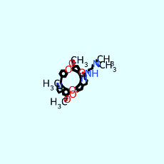 CCN(CC)CCCNC(=O)N1CCc2cc3c4cc2[C@@H]1Cc1ccc(OC)c(c1)Oc1ccc(cc1)C[C@H]1c2c(cc(OC)c(c2O4)O3)CCN1C